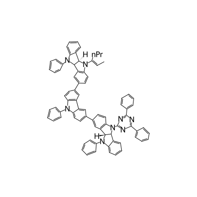 C/C=C(\CCC)N1c2ccc(-c3ccc4c(c3)c3cc(-c5ccc6c(c5)[C@@H]5C(c7ccccc7N5c5ccccc5)N6c5nc(-c6ccccc6)nc(-c6ccccc6)n5)ccc3n4-c3ccccc3)cc2C2[C@H]1c1ccccc1N2c1ccccc1